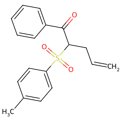 C=CCC(C(=O)c1ccccc1)S(=O)(=O)c1ccc(C)cc1